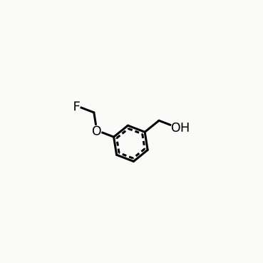 OCc1cccc(OCF)c1